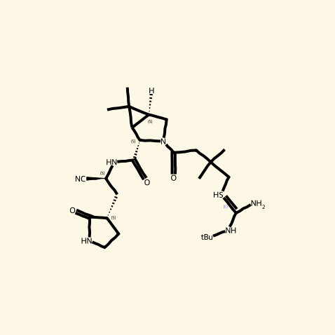 CC(C)(C/[SH]=C(\N)NC(C)(C)C)CC(=O)N1C[C@H]2C([C@H]1C(=O)N[C@H](C#N)C[C@@H]1CCNC1=O)C2(C)C